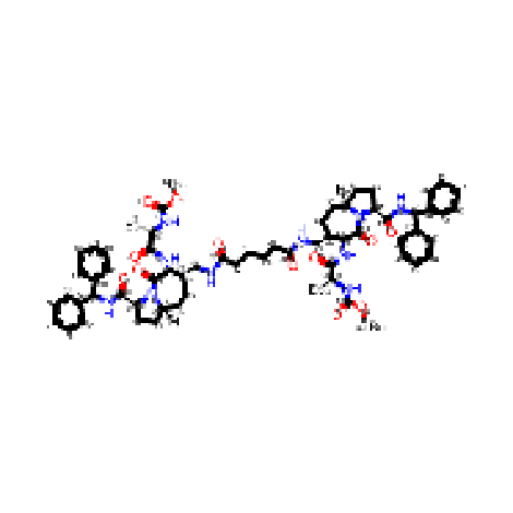 CC[C@H](NC(=O)OC(C)(C)C)C(=O)N[C@@H]1C(=O)N2[C@@H](CC[C@@H]1CNC(=O)CCCCC(=O)NC[C@H]1CC[C@H]3CC[C@@H](C(=O)NC(c4ccccc4)c4ccccc4)N3C(=O)[C@H]1NC(=O)[C@H](CC)NC(=O)OC(C)(C)C)CC[C@H]2C(=O)NC(c1ccccc1)c1ccccc1